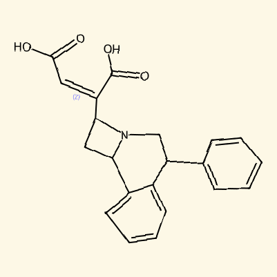 O=C(O)/C=C(\C(=O)O)C1CC2c3ccccc3C(c3ccccc3)CN12